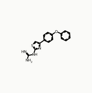 N=C(N)Nc1nc(-c2ccc(Oc3ccccc3)cc2)cs1